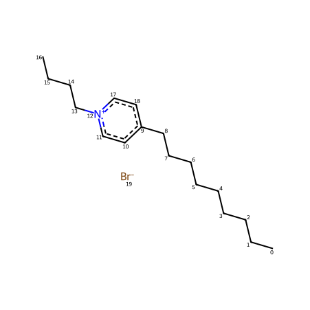 CCCCCCCCCc1cc[n+](CCCC)cc1.[Br-]